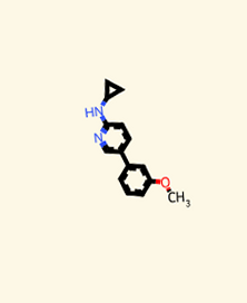 COc1cccc(-c2ccc(NC3CC3)nc2)c1